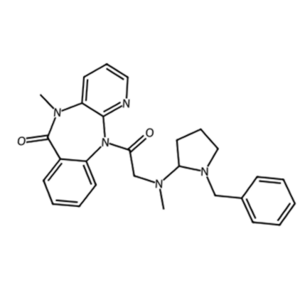 CN1C(=O)c2ccccc2N(C(=O)CN(C)C2CCCN2Cc2ccccc2)c2ncccc21